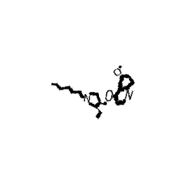 CCCCCCCN1CC[C@@H](COc2ccnc3ccc(OC)cc23)[C@@H](CC)C1